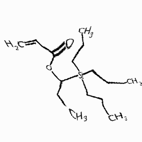 C=CC(=O)OC(CC)[Si](CCC)(CCC)CCC